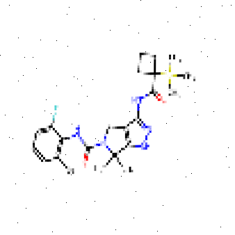 CCc1cccc(F)c1NC(=O)N1Cc2c(NC(=O)C3(S(C)(C)C)CCC3)n[nH]c2C1(C)C